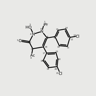 CC(=O)C1C(=O)N(O)N(C(C)C)C(c2ccc(Cl)cc2)=C1c1ccc(Cl)cc1